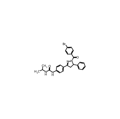 CC(C)NC(=O)Nc1ccc(C2=NN(C(=O)c3ccc(Br)cc3)C(c3ccccc3)C2)cc1